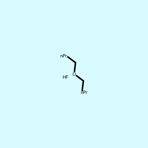 CCCCOCCCC.F